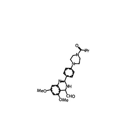 COc1cc2c(c(OC)c1)C(C=O)NC(c1ccc(N3CCN(C(=O)C(C)C)CC3)cc1)=N2